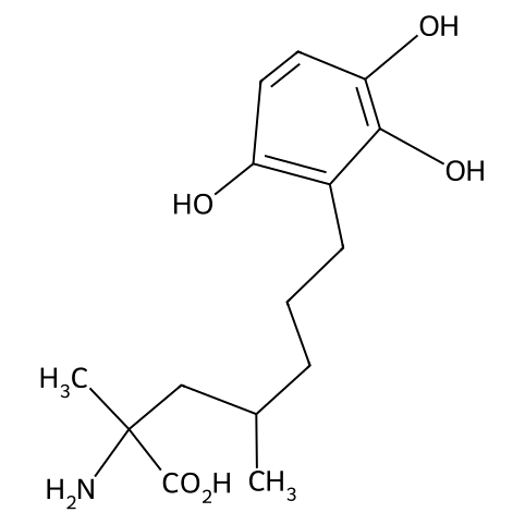 CC(CCCc1c(O)ccc(O)c1O)CC(C)(N)C(=O)O